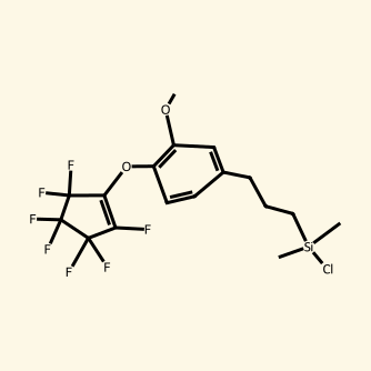 COc1cc(CCC[Si](C)(C)Cl)ccc1OC1=C(F)C(F)(F)C(F)(F)C1(F)F